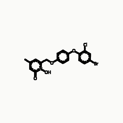 Cc1cc(COc2ccc(Oc3ccc(Br)cc3Cl)cc2)n(O)c(=O)c1